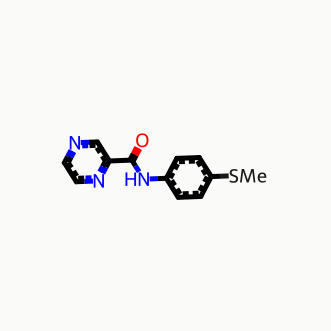 CSc1ccc(NC(=O)c2cnccn2)cc1